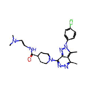 Cc1nnc(N2CCC(C(=O)NCCN(C)C)CC2)c2nn(-c3ccc(Cl)cc3)c(C)c12